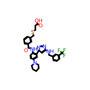 O=C(O)CCSCc1cccc(C(=O)Nc2ccc(N3CCCCC3)cc2-c2cc(NCc3cccc(C(F)(F)F)c3)ncn2)c1